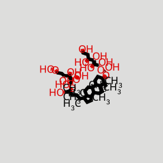 CC(CCC(OC(O)/C(OO)=C(/O)C(O)CCOO)C(C)(C)O)C1CCC2(C)C3CC=C4C(CCC(OC(O)OC(O)/C(O)=C(\O)C(O)CCO)C4(C)C)[C@@]3(C)CCC12C